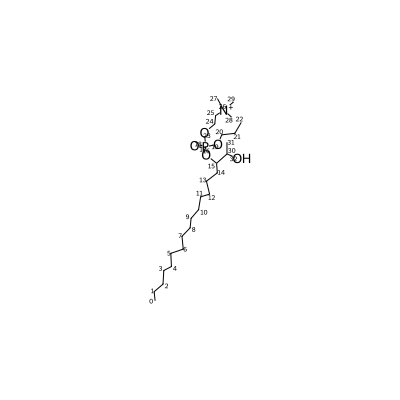 CCCCCCCCCCCCCCCC(OP(=O)(OCCC)OCC[N+](C)(C)C)C(C)O